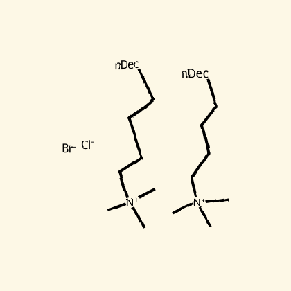 CCCCCCCCCCCCCC[N+](C)(C)C.CCCCCCCCCCCCCC[N+](C)(C)C.[Br-].[Cl-]